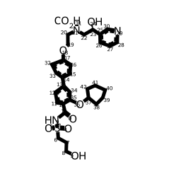 O=C(NS(=O)(=O)CCCO)c1ccc(-c2ccc(OCCN(C[C@H](O)c3cccnc3)C(=O)O)cc2)cc1OC1CCCCC1